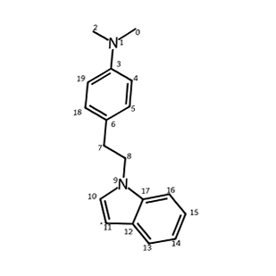 CN(C)c1ccc(CCn2c[c]c3ccccc32)cc1